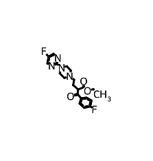 CCOC(=O)C(CCN1CCN(c2ncc(F)cn2)CC1)C(=O)c1ccc(F)cc1